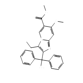 CCc1c(C(O)(c2ccccc2)c2ccccc2)nc2cc(OC)c(C(=O)OC)cn12